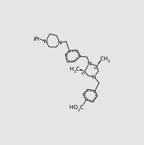 CC(C)N1CCN(Cc2cccc(CN3[C@H](C)CN(Cc4ccc(C(=O)O)cc4)C[C@@H]3C)c2)CC1